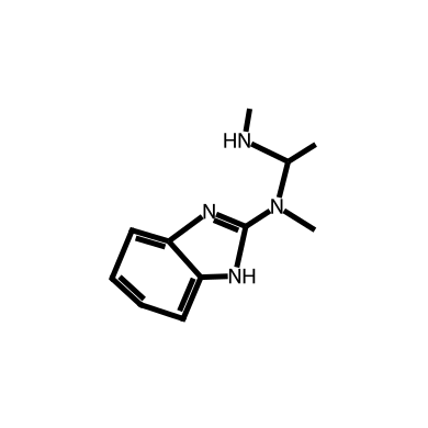 CNC(C)N(C)c1nc2ccccc2[nH]1